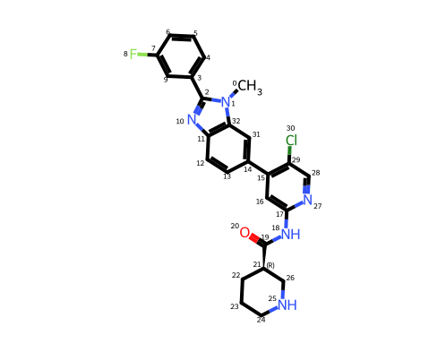 Cn1c(-c2cccc(F)c2)nc2ccc(-c3cc(NC(=O)[C@@H]4CCCNC4)ncc3Cl)cc21